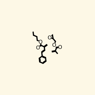 C=C(C)C(=O)OCC1CO1.C=C(C=Cc1ccccc1)C(=O)OCCCC